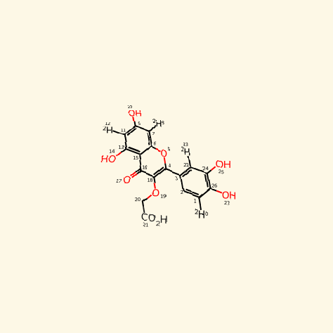 [2H]c1cc(-c2oc3c([2H])c(O)c([2H])c(O)c3c(=O)c2OCC(=O)O)c([2H])c(O)c1O